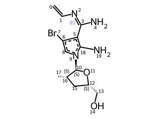 C=C/N=C(/N)c1c(Br)cn([C@H]2O[C@H](CO)C[C@@H]2C)c1N